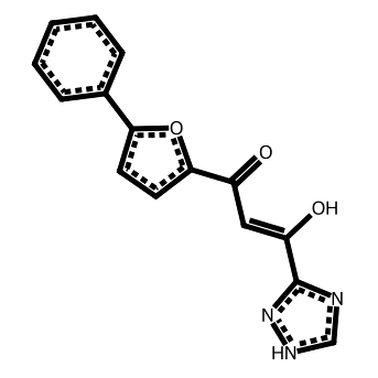 O=C(C=C(O)c1nc[nH]n1)c1ccc(-c2ccccc2)o1